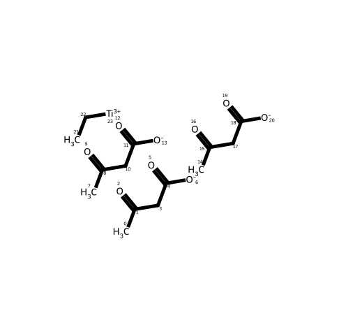 CC(=O)CC(=O)[O-].CC(=O)CC(=O)[O-].CC(=O)CC(=O)[O-].C[CH2][Ti+3]